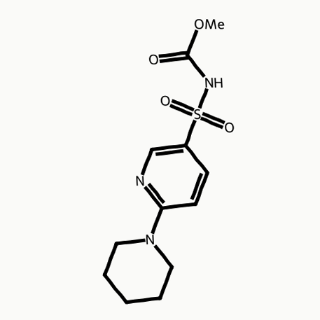 COC(=O)NS(=O)(=O)c1ccc(N2CCCCC2)nc1